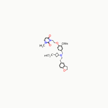 COc1cc(CN(CCc2ccc3c(c2)CCO3)C2CC(C(=O)O)C2)ccc1OCCn1c(=O)ccn(C)c1=O